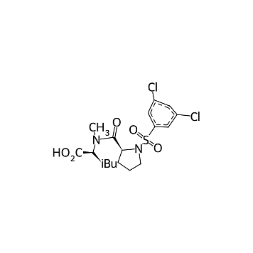 CC[C@H](C)[C@@H](C(=O)O)N(C)C(=O)[C@@H]1CCCN1S(=O)(=O)c1cc(Cl)cc(Cl)c1